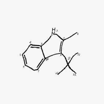 Cc1[nH]c2ccccc2c1C(C)(C)C